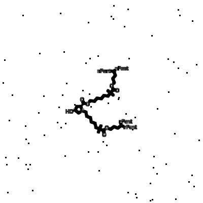 CCCCCC(CCCCC)CCCOC(=O)C(C)(C)CCCCCCOC(=O)[C@@H]1C[C@H](O)CN1CCCCCCC(C)(C)C(=O)OCCCC(CCCCC)CCCCC